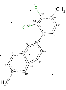 Cc1ccc2cc(-c3ccc(C)c(F)c3Cl)ccc2c1